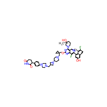 CCc1c(F)ccc2cc(O)cc(-c3ncc4c(N5CCC[C@@](C)(O)C5)nc(OCC5(CN6CCC(N7CC(CN8CCN(c9ccc(C%10CCC(=O)NC%10=O)cc9)CC8)C7)CC6)CC5)nc4c3F)c12